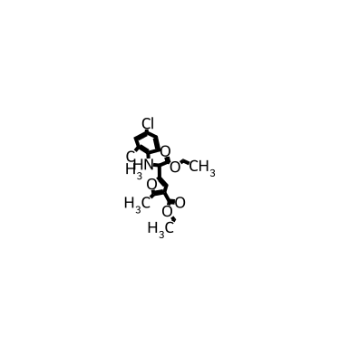 CCOC(=O)c1cc(C(Nc2ccc(Cl)cc2C)C(=O)OCC)oc1C